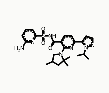 CC1CN(c2nc(-c3ccnn3C(C)C)ccc2C(=O)NS(=O)(=O)c2cccc(N)n2)C(C)(C)C1